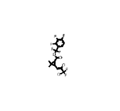 CC1(C)C(C=C(Cl)C(F)(F)Cl)C1C(=O)OC(F)(F)c1ccc(F)c(F)c1F